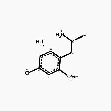 COc1cc(Cl)ccc1C[C@H](C)N.Cl